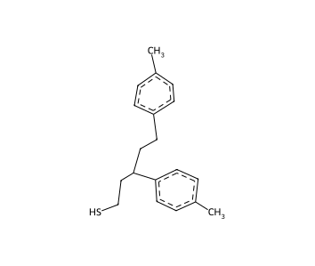 Cc1ccc(CCC(CCS)c2ccc(C)cc2)cc1